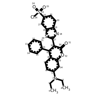 CCN(CC)c1ccc2c(-c3ccccc3)c(-c3nc4ccc(S(=O)(=O)Cl)cc4s3)c(=O)oc2c1